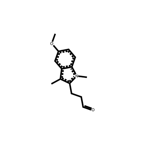 COc1ccc2c(c1)c(C)c(CCC=O)n2C